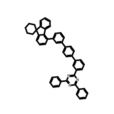 c1ccc(-c2nc(-c3ccccc3)nc(-c3cccc(-c4ccc(-c5cccc(-c6cccc7c6-c6ccccc6C76CCCCC6)c5)cc4)c3)n2)cc1